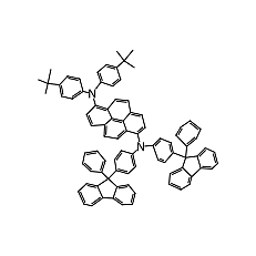 CC(C)(C)c1ccc(N(c2ccc(C(C)(C)C)cc2)c2ccc3ccc4c(N(c5ccc(C6(c7ccccc7)c7ccccc7-c7ccccc76)cc5)c5ccc(C6(c7ccccc7)c7ccccc7-c7ccccc76)cc5)ccc5ccc2c3c54)cc1